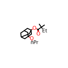 CCCOC12CC3CC(C1)CC(OC(=O)C(C)(C)CC)(C3)C2